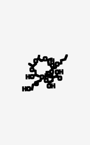 CC(O)COC(C)COC(C)COC(C)CO.CCCCOCCOCCOCCOCCO.O=C(O)CC(O)C(=O)O